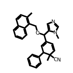 Cc1ccc2ccccc2c1COC(C1=CC(c2ccccc2)C(C)(C#N)C=C1)c1cncn1C